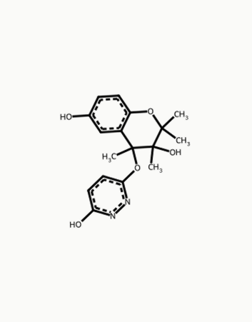 CC1(C)Oc2ccc(O)cc2C(C)(Oc2ccc(O)nn2)C1(C)O